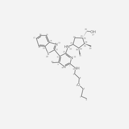 CCCOCCNc1nc(C)c(-c2nc3ccccc3s2)c(NC2C[C@H](CO)[C@@H](C)[C@H]2C)n1